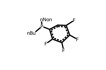 CCCCCCCCCP(CCCC)c1cc(F)c(F)c(F)c1F